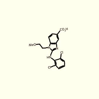 COCCn1c(Nc2c(Cl)cccc2Cl)nc2cc(C(=O)O)ccc21